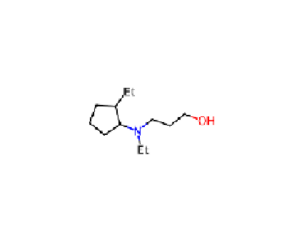 CCC1CCCC1N(CC)CCCO